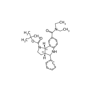 CCN(CC)C(=O)c1ccc2c(c1)[C@@H]1[C@@H](CCN1C(=O)OC(C)(C)C)C(c1ccccc1)N2